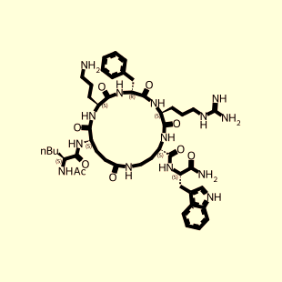 CCCC[C@H](NC(C)=O)C(=O)N[C@H]1CCC(=O)NCC[C@@H](C(=O)N[C@@H](Cc2c[nH]c3ccccc23)C(N)=O)NC(=O)[C@H](CCCNC(=N)N)NC(=O)[C@@H](Cc2ccccc2)NC(=O)[C@H](CCCN)NC1=O